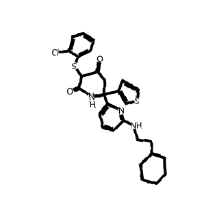 O=C1CC(c2ccsc2)(c2cccc(NCCC3CCCCC3)n2)NC(=O)C1Sc1ccccc1Cl